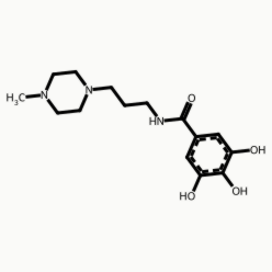 CN1CCN(CCCNC(=O)c2cc(O)c(O)c(O)c2)CC1